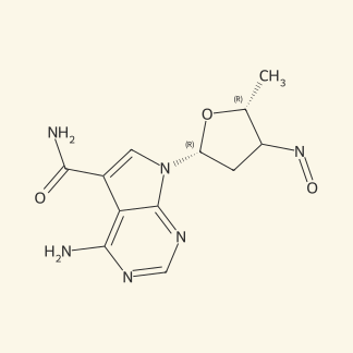 C[C@H]1O[C@@H](n2cc(C(N)=O)c3c(N)ncnc32)CC1N=O